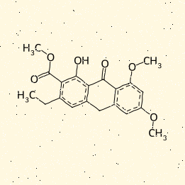 CCc1cc2c(c(O)c1C(=O)OC)C(=O)c1c(cc(OC)cc1OC)C2